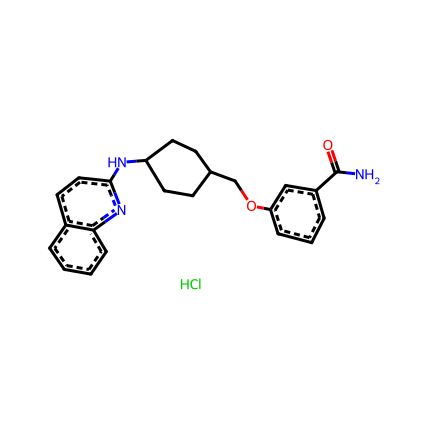 Cl.NC(=O)c1cccc(OCC2CCC(Nc3ccc4ccccc4n3)CC2)c1